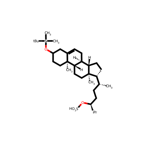 CC(C)[C@H](CC[C@@H](C)[C@H]1CC[C@H]2[C@@H]3CC=C4CC(O[Si](C)(C)C(C)(C)C)CC[C@]4(C)[C@H]3CC[C@]12C)OS(=O)(=O)O